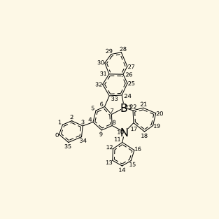 c1ccc(-c2cc3c4c(c2)N(c2ccccc2)c2ccccc2B4c2cc4ccccc4cc2-3)cc1